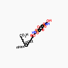 CCCCCCCCC1C(CCCCCCCC(=O)OCCNS(=O)(=O)c2ccc3c(c2)C(=O)c2ccc(S(=O)(=O)NCCO)cc2C3=O)CCC(CCCCCC)C1CCCCCCCC(=O)O